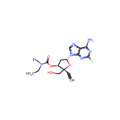 C#C[C@]1(CO)O[C@@H](n2cnc3c(N)nc(F)nc32)C[C@@H]1OC(=O)N(CC)CC(=O)O